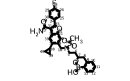 CS(=O)(=O)N(CCC1Cc2ccccc2B(O)O1)Cc1cc2oc(-c3ccc(F)cc3)c(C(N)=O)c2cc1C1CC1